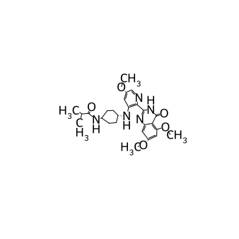 COc1cnc(-c2nc3cc(OC)cc(OC)c3c(=O)[nH]2)c(N[C@H]2CC[C@@H](NC(=O)C(C)C)CC2)c1